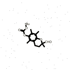 Cc1c(C)c2c(c(C)c1OC(=O)OC(C)(C)C)CCC(C)(C=O)O2